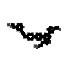 C=NCc1cnn2cc(-c3cnn(C)c3)cc(-c3ccc(N4CCN(CC#Cc5ccnc(OC)c5)CC4)nc3)c12